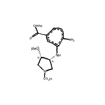 COC(=O)c1ccc(N)c(N[C@@H]2CN(C(=O)O)C[C@@H]2OC)c1